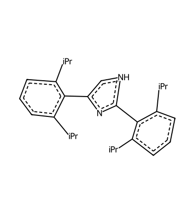 CC(C)c1cccc(C(C)C)c1-c1c[nH]c(-c2c(C(C)C)cccc2C(C)C)n1